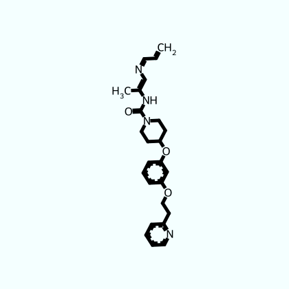 C=C/C=N\C=C(/C)NC(=O)N1CCC(Oc2cccc(OCCc3ccccn3)c2)CC1